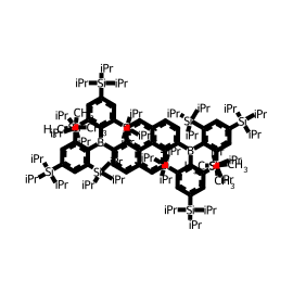 CC(C)[Si](c1cc([Si](C)(C)C)c(B(c2c([Si](C(C)C)(C(C)C)C(C)C)cc([Si](C(C)C)(C(C)C)C(C)C)cc2[Si](C(C)C)(C(C)C)C(C)C)c2ccc3ccc4c(B(c5c([Si](C)(C)C)cc([Si](C(C)C)(C(C)C)C(C)C)cc5[Si](C(C)C)(C(C)C)C(C)C)c5c([Si](C(C)C)(C(C)C)C(C)C)cc([Si](C(C)C)(C(C)C)C(C)C)cc5[Si](C(C)C)(C(C)C)C(C)C)ccc5ccc2c3c54)c([Si](C(C)C)(C(C)C)C(C)C)c1)(C(C)C)C(C)C